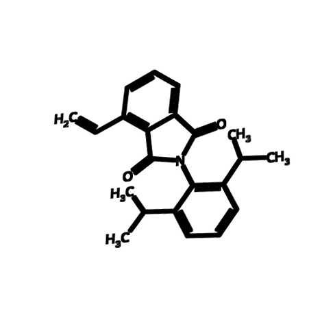 C=Cc1cccc2c1C(=O)N(c1c(C(C)C)cccc1C(C)C)C2=O